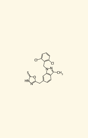 Cc1nn(Cc2c(Cl)cccc2Cl)c2cc(Cc3n[nH]c(=S)o3)ccc12